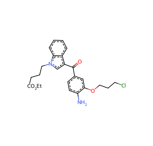 CCOC(=O)CCCn1cc(C(=O)c2ccc(N)c(OCCCCl)c2)c2ccccc21